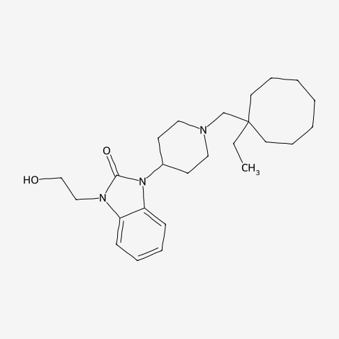 CCC1(CN2CCC(n3c(=O)n(CCO)c4ccccc43)CC2)CCCCCCC1